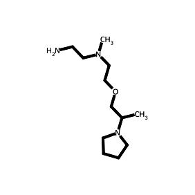 CC(COCCN(C)CCN)N1CCCC1